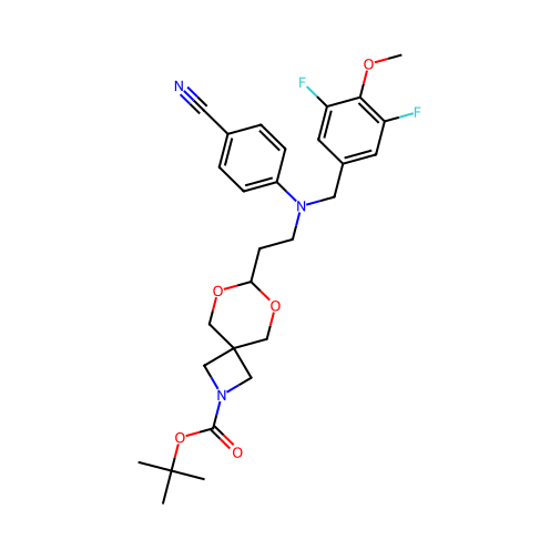 COc1c(F)cc(CN(CCC2OCC3(CO2)CN(C(=O)OC(C)(C)C)C3)c2ccc(C#N)cc2)cc1F